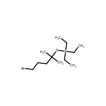 CC[Si](CC)(CC)OC(C)(C)CCCBr